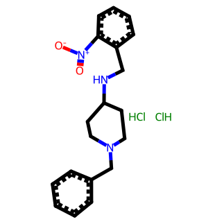 Cl.Cl.O=[N+]([O-])c1ccccc1CNC1CCN(Cc2ccccc2)CC1